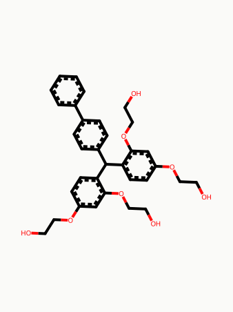 OCCOc1ccc(C(c2ccc(-c3ccccc3)cc2)c2ccc(OCCO)cc2OCCO)c(OCCO)c1